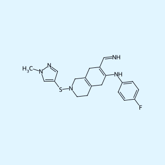 Cn1cc(SN2CCC3=C(CC(C=N)=C(Nc4ccc(F)cc4)C3)C2)cn1